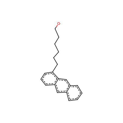 [O]CCCCCCc1cccc2cc3ccccc3cc12